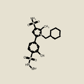 Cc1c(S(N)(=O)=O)cc(-c2ccc(S(=O)(=O)NC(C)(C)C)c(C#N)c2)n1CC1CCCCC1